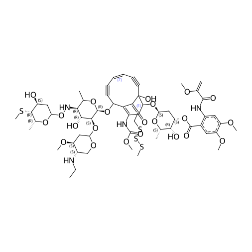 C=C(OC)C(=O)Nc1cc(OC)c(OC)cc1C(=O)O[C@H]1C[C@H](OC2C(=O)C(NC(=O)OC)=C3/C(=C\CSSSC)C2(O)C#C/C=C\C#CC3O[C@@H]2OC(C)[C@H](NOC3C[C@H](O)[C@@H](SC)[C@@H](C)O3)[C@@H](O)[C@@H]2OC2C[C@H](OC)[C@@H](NCC)CO2)O[C@@H](C)[C@H]1O